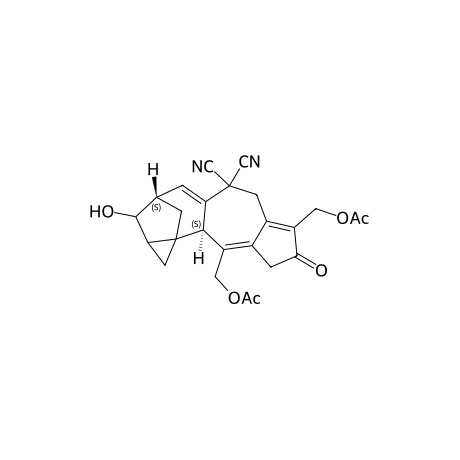 CC(=O)OCC1=C2CC(C#N)(C#N)C3=C[C@@H]4CC5(CC5C4O)[C@@H]3C(COC(C)=O)=C2CC1=O